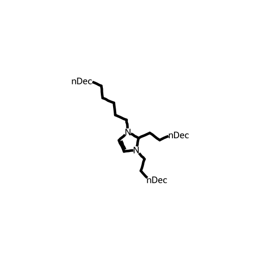 CCCCCCCCCCCCCCCN1C=CN(CCCCCCCCCCCC)C1CCCCCCCCCCCC